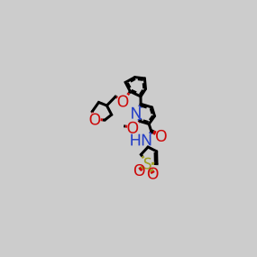 COc1nc(-c2ccccc2OCC2CCOCC2)ccc1C(=O)N[C@@H]1C=CS(=O)(=O)C1